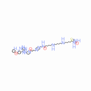 Nc1ncnc2c1c(-c1ccc(Oc3ccccc3)cc1)nn2[C@@H]1CCCN(C(=O)/C=C/CN2CCN(CCNC(=O)CCCCCNCCCCCCNCCCCCC3SCC4NC(=O)NC43)CC2)C1